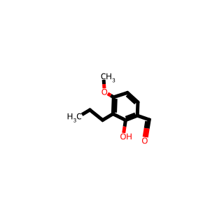 CCCc1c(OC)ccc(C=O)c1O